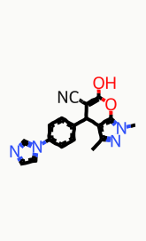 Cc1nn(C)c2c1C(c1ccc(-n3ccnc3)cc1)C(C#N)=C(O)O2